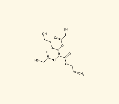 C=CCOC(=O)C(OC(=O)CS)=C(OCCO)OC(=O)CS